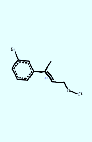 CCOC/C=C(\C)c1cccc(Br)c1